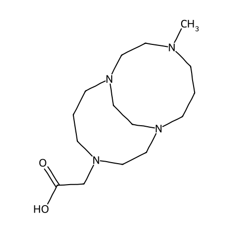 CN1CCCN2CCN(CCCN(CC(=O)O)CC2)CC1